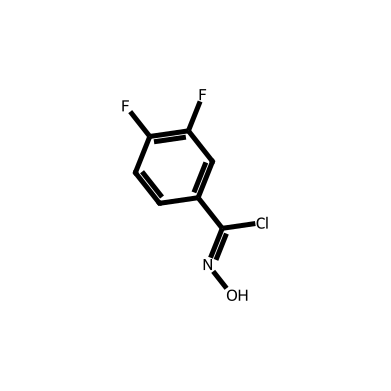 ON=C(Cl)c1ccc(F)c(F)c1